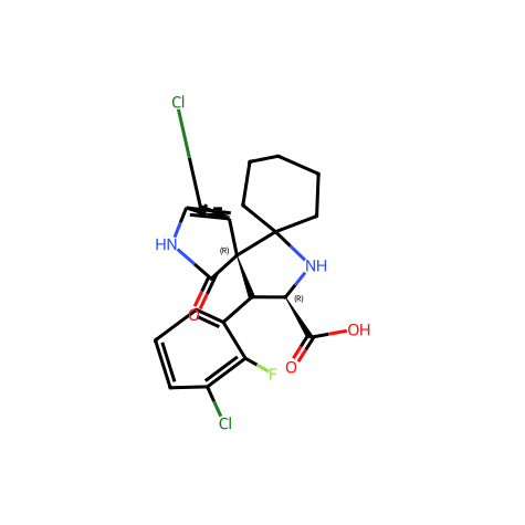 O=C(O)[C@@H]1NC2(CCCCC2)[C@@]2(C(=O)Nc3cc(Cl)ccc32)C1c1cccc(Cl)c1F